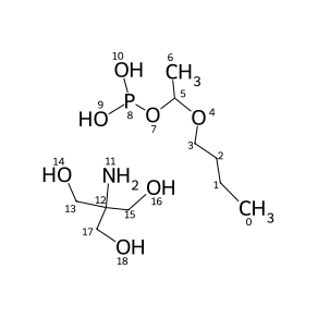 CCCCOC(C)OP(O)O.NC(CO)(CO)CO